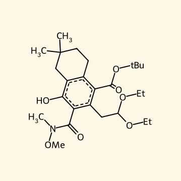 CCOC(Cc1c(C(=O)N(C)OC)c(O)c2c(c1C(=O)OC(C)(C)C)CCC(C)(C)C2)OCC